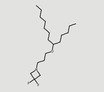 CCCCCCCC(CCCCC)OCCCN1CC(F)(F)C1